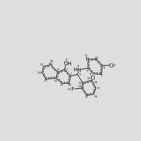 Oc1c(C(Nc2ccc(Cl)cn2)c2c(F)cccc2Cl)ccc2cccnc12